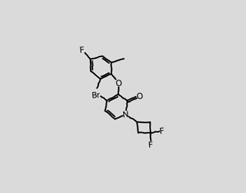 Cc1cc(F)cc(C)c1Oc1c(Br)ccn(C2CC(F)(F)C2)c1=O